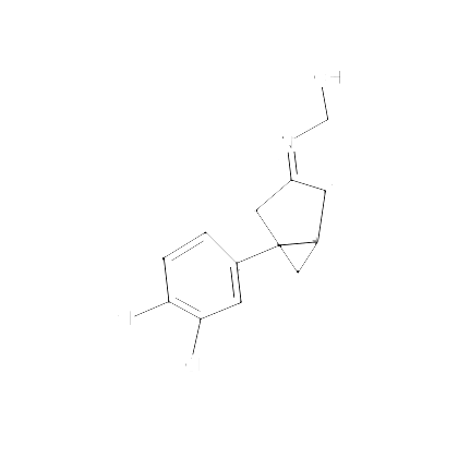 OC/N=C1\CC2CC2(c2ccc(Cl)c(Cl)c2)C1